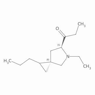 CCCC1C[C@@]12C[C@@H](C(=O)CC)N(CC)C2